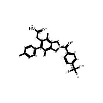 Cc1ccc(-c2c(C)c3c(c(C)c2CC(=O)O)CN(C(=O)c2ccc(C(F)(F)F)cc2)C3)cc1